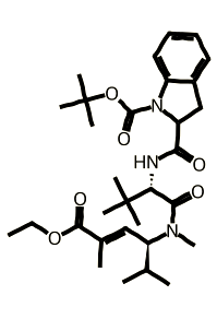 CCOC(=O)/C(C)=C/[C@H](C(C)C)N(C)C(=O)[C@@H](NC(=O)C1Cc2ccccc2N1C(=O)OC(C)(C)C)C(C)(C)C